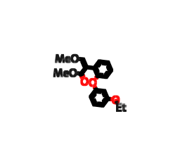 CCOc1cccc(Oc2ccccc2C(=COC)C(=O)OC)c1